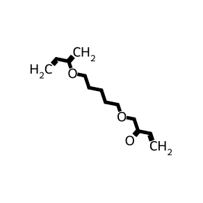 C=CC(=C)OCCCCCOCC(=O)C=C